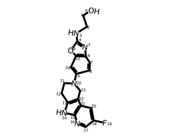 OCCNc1nc2ccc(N3CCc4[nH]c5ncc(F)cc5c4C3)cc2o1